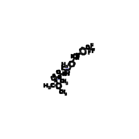 C/C(=C\c1ccc(-c2ncn(-c3ccc(OC(F)(F)F)cc3)n2)cc1)NC(=O)/N=C1\SCCN1c1c(C)cc(C)cc1C